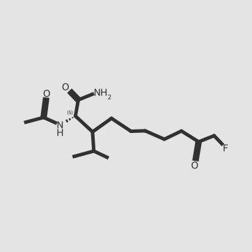 CC(=O)N[C@H](C(N)=O)C(CCCCCC(=O)CF)C(C)C